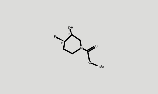 CCCCOC(=O)N1CC[C@@H](F)[C@@H](O)C1